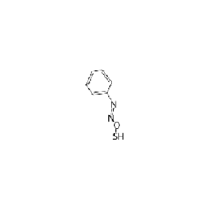 SON=Nc1ccccc1